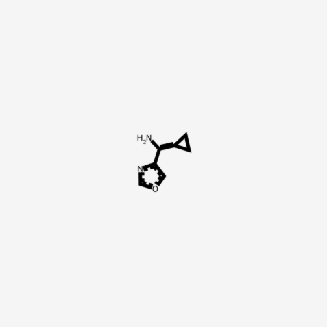 NC(=C1CC1)c1cocn1